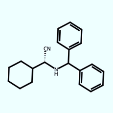 N#C[C@H](NC(c1ccccc1)c1ccccc1)C1CCCCC1